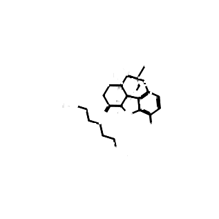 CCCCCCCCCCCCCCCC(=O)O.CN1CC[C@]23c4c5ccc(O)c4O[C@H]2C(=O)CC[C@H]3[C@H]1C5